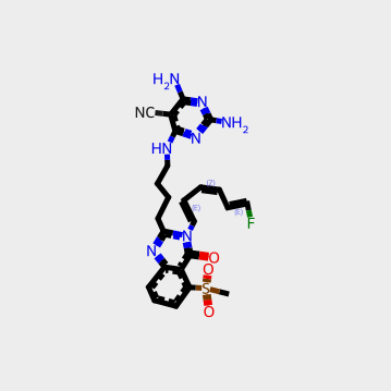 CS(=O)(=O)c1cccc2nc(CCCCNc3nc(N)nc(N)c3C#N)n(/C=C/C=C\C=C\F)c(=O)c12